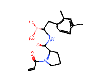 C=CC(=O)N1CCCC1C(=O)NC(Cc1ccc(C)cc1C)B(O)O